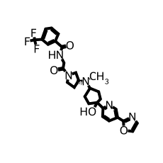 CN(C1CCC(O)(c2ccc(-c3ncco3)cn2)CC1)[C@H]1CCN(C(=O)CNC(=O)c2cccc(C(F)(F)F)c2)C1